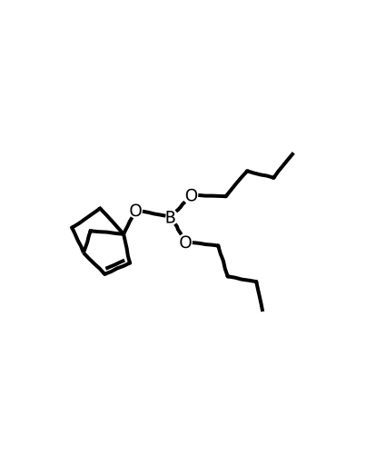 CCCCOB(OCCCC)OC12C=CC(CC1)C2